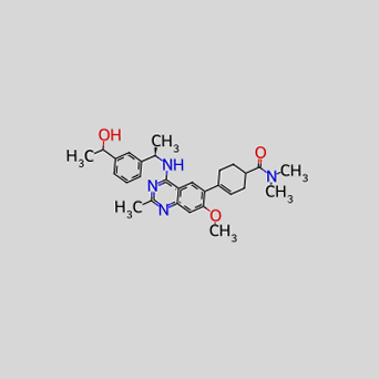 COc1cc2nc(C)nc(N[C@H](C)c3cccc(C(C)O)c3)c2cc1C1=CCC(C(=O)N(C)C)CC1